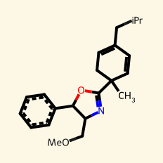 COCC1N=C(C2(C)C=CC(CC(C)C)=CC2)OC1c1ccccc1